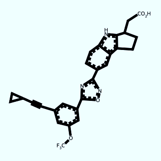 O=C(O)CC1CCc2c1[nH]c1ccc(-c3noc(-c4cc(C#CC5CC5)cc(OC(F)(F)F)c4)n3)cc21